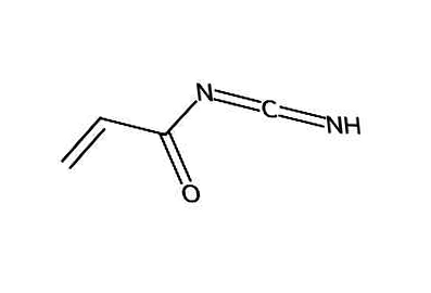 C=CC(=O)N=C=N